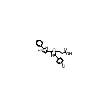 O=C(O)CCc1oc(-c2c[nH]c(-c3ccccc3)n2)nc1-c1ccc(Cl)cc1